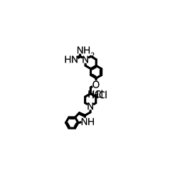 Cl.Cl.N=C(N)N1CCc2ccc(OCC3CCN(Cc4cc5ccccc5[nH]4)CC3)cc2C1